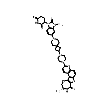 C[C@@H]1CNc2c(sc3ccc4nc(N5CCN(C6CC7(CCN(c8ccc9c(c8)n(C)c(=O)n9C8CCC(=O)NC8=O)CC7)C6)CC5)ccc4c23)C(=O)N1